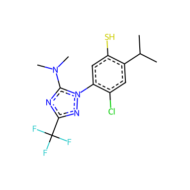 CC(C)c1cc(Cl)c(-n2nc(C(F)(F)F)nc2N(C)C)cc1S